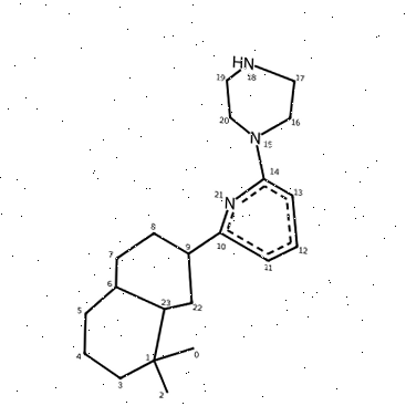 CC1(C)CCCC2CCC(c3cccc(N4CCNCC4)n3)CC21